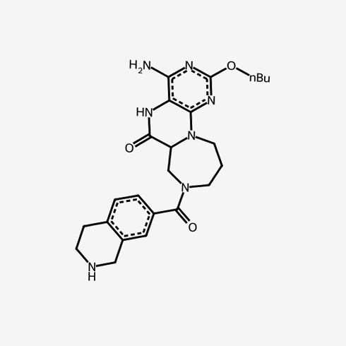 CCCCOc1nc(N)c2c(n1)N1CCCN(C(=O)c3ccc4c(c3)CNCC4)CC1C(=O)N2